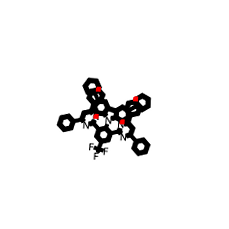 FC(F)(F)c1cc(-c2nc(-c3ccccc3)cc(-c3ccccc3)n2)c(-n2c3ccc(-c4ccccc4)cc3c3cc(-c4ccccc4)ccc32)c(-c2nc(-c3ccccc3)cc(-c3ccccc3)n2)c1